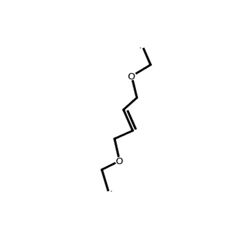 [CH2]COCC=CCOC[CH2]